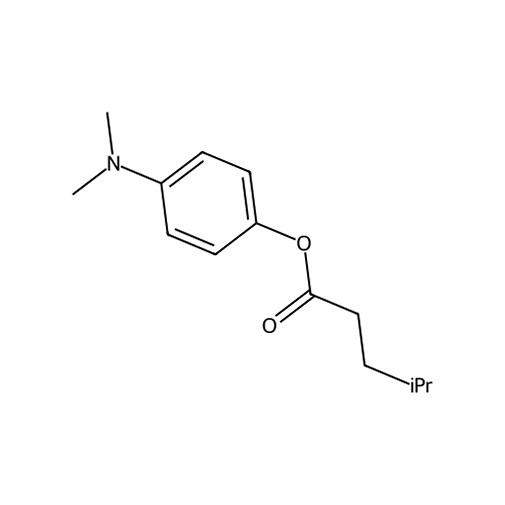 CC(C)CCC(=O)Oc1ccc(N(C)C)cc1